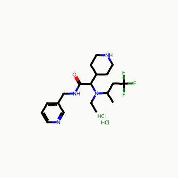 CCN(C(C)CC(F)(F)F)C(C(=O)NCc1cccnc1)C1CCNCC1.Cl.Cl